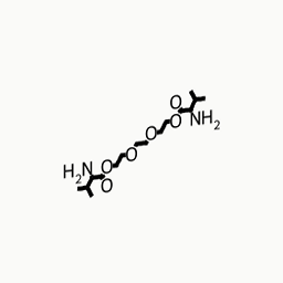 CC(C)C(N)C(=O)OCCOCCOCCOC(=O)C(N)C(C)C